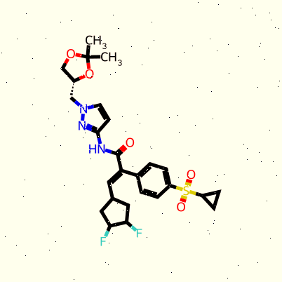 CC1(C)OC[C@@H](Cn2ccc(NC(=O)/C(=C/C3CC(F)C(F)C3)c3ccc(S(=O)(=O)C4CC4)cc3)n2)O1